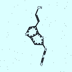 N#C/C=C/c1csc2cc(N=C=O)sc12